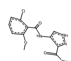 COc1cccc(Cl)c1C(=O)Nc1c[nH]nc1C(=O)O